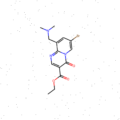 CCOC(=O)c1cnc2c(CN(C)C)cc(Br)cn2c1=O